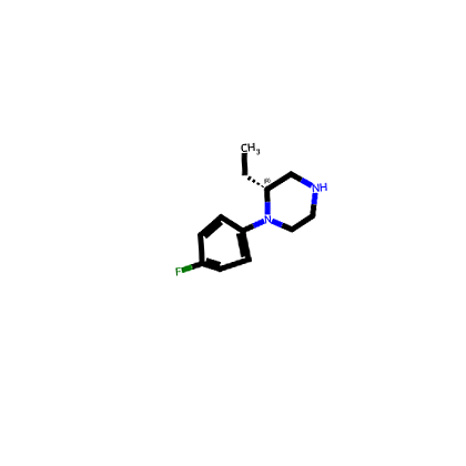 CC[C@@H]1CNCCN1c1ccc(F)cc1